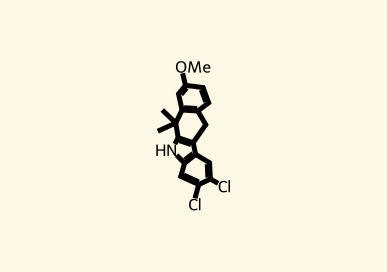 COc1ccc2c(c1)C(C)(C)c1[nH]c3cc(Cl)c(Cl)cc3c1C2